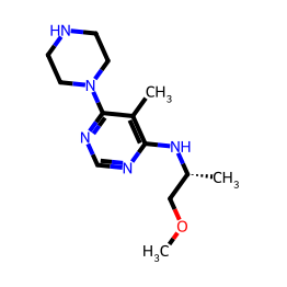 COC[C@@H](C)Nc1ncnc(N2CCNCC2)c1C